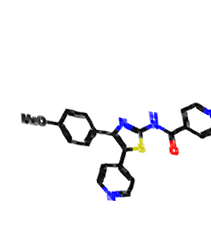 COc1ccc(-c2nc(NC(=O)c3ccncc3)sc2-c2ccncc2)cc1